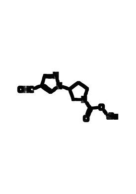 CC(C)(C)OC(=O)N1CCC(n2cc(C=O)cn2)C1